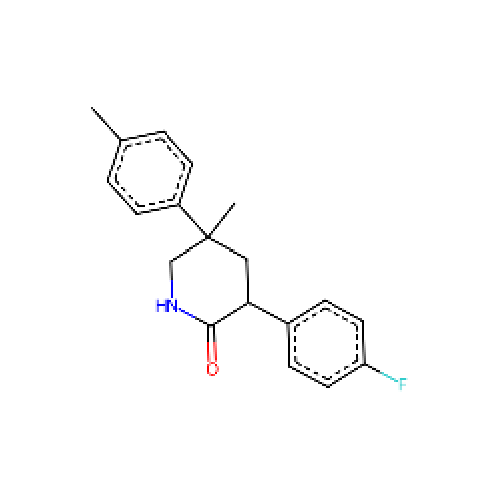 Cc1ccc(C2(C)CNC(=O)C(c3ccc(F)cc3)C2)cc1